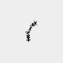 CC(C)(C)C1CC2(C1)CN(C(=O)COCCCOC1CN(C(C)(C)C)C1)C2